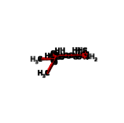 CCCCCCCCCCCCCCCC(=O)OC[C@H](CSCC(NC(=O)CCCC(=O)NCCCOCCOCCOCCCNC(=O)CCCC(=O)NCc1ccc(Cn2c(CCCC)nc3c(N)nc4ccccc4c32)cc1)C(=O)NC(CO)C(=O)OC)OC(=O)CCCCCCCCCCCCCCC